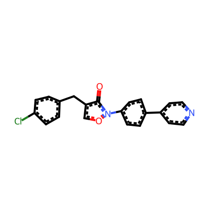 O=c1c(Cc2ccc(Cl)cc2)con1-c1ccc(-c2ccncc2)cc1